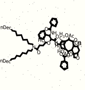 CCCCCCCCCCCCCCCCCCN(CCCCCCCCCCCCCCCCCC)C(=O)CCC(O)OC(C(=O)OC1CC2(O)C(OC(=O)c3ccccc3)C3C4(OC(C)=O)COC4CC(O)C3(C)C(=O)C(OC(C)=O)C(=C1C)C2(C)C)C(NC(=O)c1ccccc1)c1ccccc1